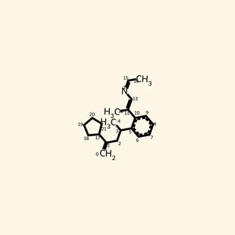 C=C(CC(C)c1ccccc1/C(C)=C/N=C\C)C1CCCC1